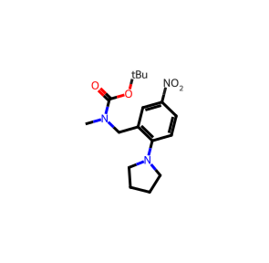 CN(Cc1cc([N+](=O)[O-])ccc1N1CCCC1)C(=O)OC(C)(C)C